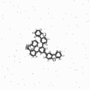 N#Cc1ccccc1-c1c(C#N)cccc1-c1cc(-c2ccc3oc4ccccc4c3c2)cc(-c2ccc3oc4ccccc4c3c2)c1